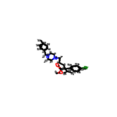 COC(=O)C(CCCN1CCN(Cc2ccc(C)cc2)CC1)(c1ccc(Br)cc1)C(C)C